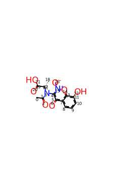 CC(=O)N(c1c(=O)c2cccc(O)c2o[n+]1[O-])[C@@H](C)C(=O)O